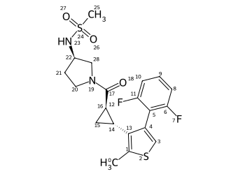 Cc1scc(-c2c(F)cccc2F)c1[C@@H]1C[C@H]1C(=O)N1CC[C@@H](NS(C)(=O)=O)C1